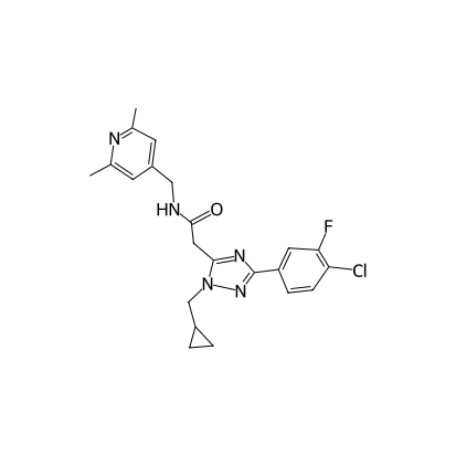 Cc1cc(CNC(=O)Cc2nc(-c3ccc(Cl)c(F)c3)nn2CC2CC2)cc(C)n1